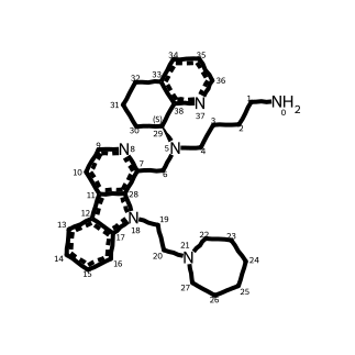 NCCCCN(Cc1nccc2c3ccccc3n(CCN3CCCCCC3)c12)[C@H]1CCCc2cccnc21